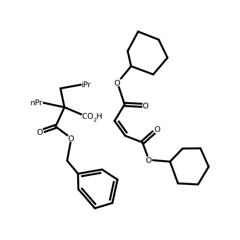 CCCC(CC(C)C)(C(=O)O)C(=O)OCc1ccccc1.O=C(/C=C\C(=O)OC1CCCCC1)OC1CCCCC1